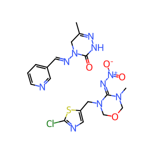 CC1=NNC(=O)N(/N=C/c2cccnc2)C1.CN1COCN(Cc2cnc(Cl)s2)/C1=N/[N+](=O)[O-]